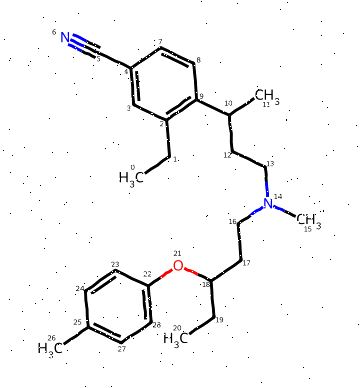 CCc1cc(C#N)ccc1C(C)CCN(C)CCC(CC)Oc1ccc(C)cc1